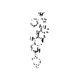 Cc1nc(N2CCOCC2)ccc1Nc1ncc(Cl)c(Nc2ccccc2C(=O)N(C)C)n1